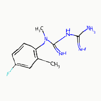 Cc1cc(F)ccc1N(C)C(=N)NC(=N)N